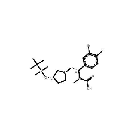 CN(C(=O)O)[C@H](CN1CC[C@H](O[Si](C)(C)C(C)(C)C)C1)c1ccc(F)c(Br)c1